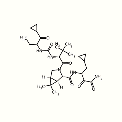 CC[C@H](NC(=O)N[C@H](C(=O)N1C[C@H]2[C@@H]([C@H]1C(=O)NC(CC1CC1)C(=O)C(N)=O)C2(C)C)C(C)(C)C)C(=O)C1CC1